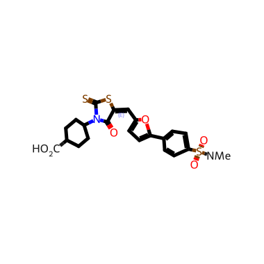 CNS(=O)(=O)c1ccc(-c2ccc(/C=C3/SC(=S)N(C4CCC(C(=O)O)CC4)C3=O)o2)cc1